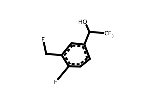 OC(c1ccc(F)c(CF)c1)C(F)(F)F